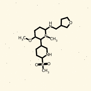 COC1CCC(NCC2CCOC2)N(C)C1C1CCC(S(C)(=O)=O)NC1